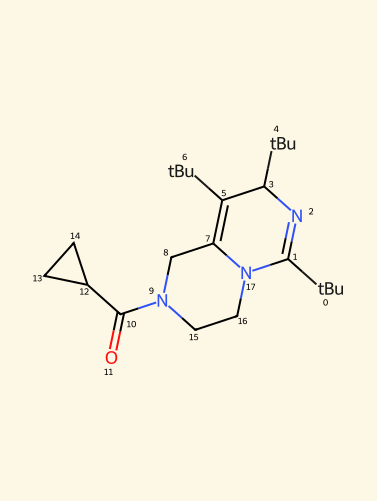 CC(C)(C)C1=NC(C(C)(C)C)C(C(C)(C)C)=C2CN(C(=O)C3CC3)CCN12